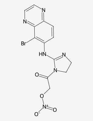 O=C(CO[N+](=O)[O-])N1CCN=C1Nc1ccc2nccnc2c1Br